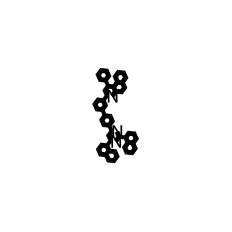 c1ccc(-c2cc(-c3cccc(-c4ccc(-c5cc(-c6cccc7ccccc67)nc(-c6cccc7ccccc67)n5)cc4)c3)nc3ccc4ccccc4c23)cc1